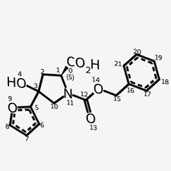 O=C(O)[C@@H]1CC(O)(c2ccco2)CN1C(=O)OCc1ccccc1